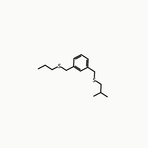 CCCSCc1cccc(CSCC(C)C)c1